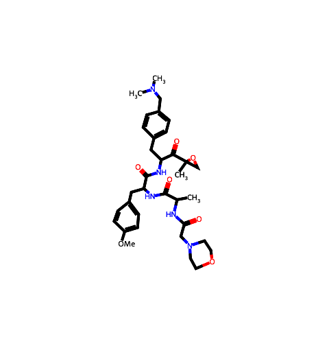 COc1ccc(CC(NC(=O)C(C)NC(=O)CN2CCOCC2)C(=O)NC(Cc2ccc(CN(C)C)cc2)C(=O)C2(C)CO2)cc1